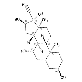 C#C[C@]1(O)[C@H](O)C[C@H]2[C@@H]3[C@@H](O)CC4C[C@H](O)CC[C@]4(C)[C@H]3CC[C@@]21C